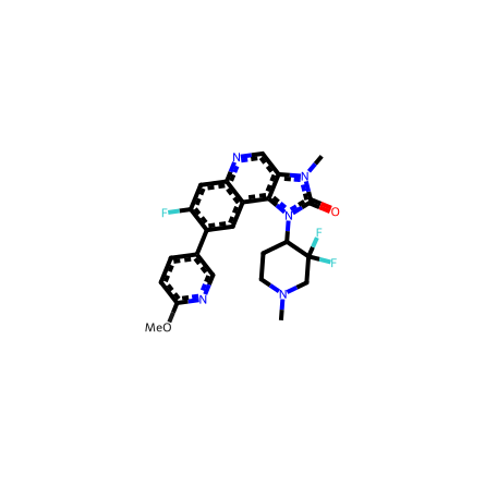 COc1ccc(-c2cc3c(cc2F)ncc2c3n(C3CCN(C)CC3(F)F)c(=O)n2C)cn1